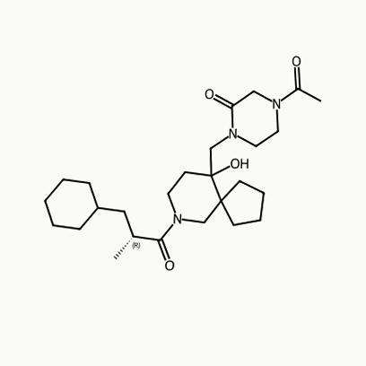 CC(=O)N1CCN(CC2(O)CCN(C(=O)[C@H](C)CC3CCCCC3)CC23CCCC3)C(=O)C1